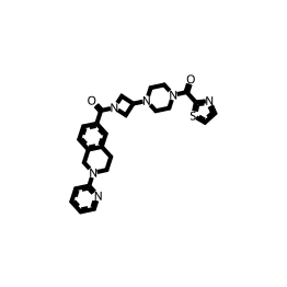 O=C(c1ccc2c(c1)CCN(c1ccccn1)C2)N1CC(N2CCN(C(=O)c3nccs3)CC2)C1